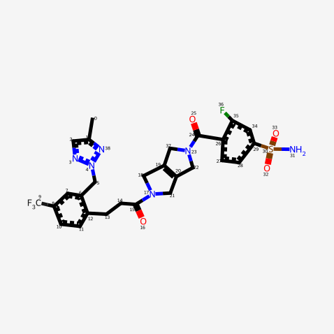 Cc1cnn(Cc2cc(C(F)(F)F)ccc2CCC(=O)N2CC3=C(C2)CN(C(=O)c2ccc(S(N)(=O)=O)cc2F)C3)n1